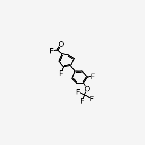 O=C(F)c1ccc(-c2ccc(OC(F)(F)F)c(F)c2)c(F)c1